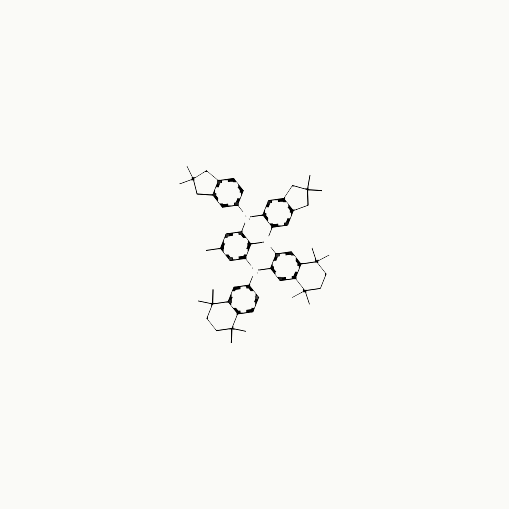 Cc1cc2c3c(c1)N(c1ccc4c(c1)C(C)(C)CCC4(C)C)c1cc4c(cc1B3c1cc3c(cc1N2c1ccc2c(c1)CC(C)(C)C2)CC(C)(C)C3)C(C)(C)CCC4(C)C